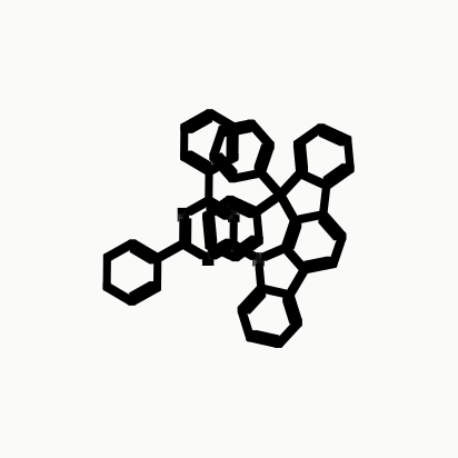 C1=CC(c2nc(-c3ccccc3)nc(-n3c4ccccc4c4ccc5c(c43)C(c3ccccc3)(c3ccccc3)c3ccccc3-5)n2)=CCC1